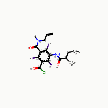 C=CCN(C)C(=O)c1c(I)c(NC(=O)C(COC(C)=O)OC(C)=O)c(I)c(C(=O)Cl)c1I